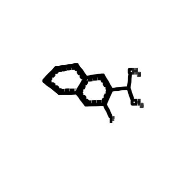 CC(C)c1cc2ccccc2cc1F